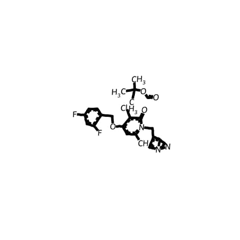 CC(C)(C)OC=O.Cc1cc(OCc2ccc(F)cc2F)c(Cl)c(=O)n1Cc1cn2nc1-2